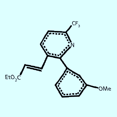 CCOC(=O)C=Cc1ccc(C(F)(F)F)nc1-c1cccc(OC)c1